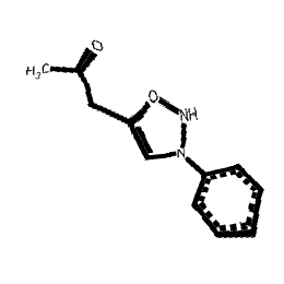 CC(=O)CC1=CN(c2ccccc2)NO1